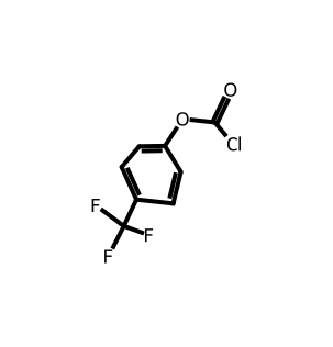 O=C(Cl)Oc1ccc(C(F)(F)F)cc1